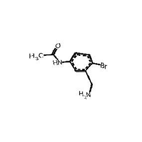 CC(=O)Nc1ccc(Br)c(CN)c1